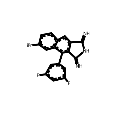 CC(C)c1ccc2cc3c(c(-c4cc(F)cc(F)c4)c2c1)C(=N)NC3=N